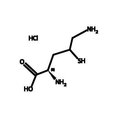 Cl.NCC(S)C[C@H](N)C(=O)O